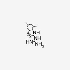 Cc1cc(C)c(NC(=S)NC(=N)N)c(Br)c1